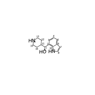 OC(c1cccc2cc[nH]c12)C1CCNCC1